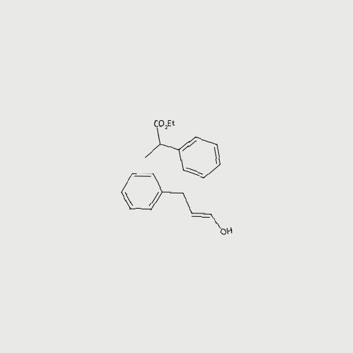 CCOC(=O)C(C)c1ccccc1.OC=CCc1ccccc1